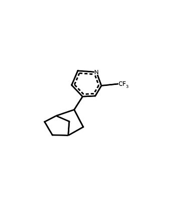 FC(F)(F)c1cc(C2CC3CCC2C3)ccn1